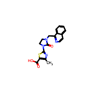 Cc1nc(N2CCN(Cc3nccc4ccccc34)C2=O)sc1C(=O)O